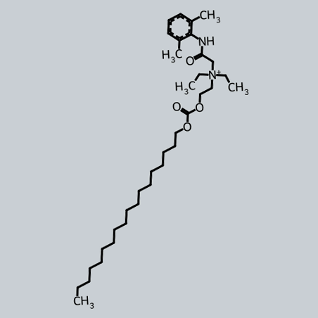 CCCCCCCCCCCCCCCCCCOC(=O)OCC[N+](CC)(CC)CC(=O)Nc1c(C)cccc1C